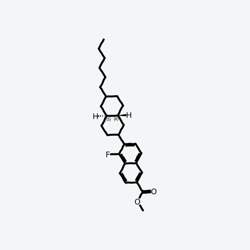 CCCCCCC1CC[C@@H]2CC(c3ccc4cc(C(=O)OC)ccc4c3F)CC[C@H]2C1